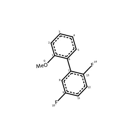 COc1[c]cccc1-c1cc(F)ccc1F